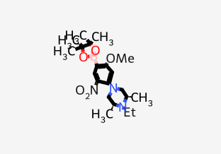 CCN1[C@H](C)CN(c2cc(OC)c(B3OC(C)(C)C(C)(C)O3)cc2[N+](=O)[O-])C[C@@H]1C